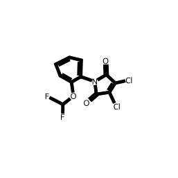 O=C1C(Cl)=C(Cl)C(=O)N1c1ccccc1OC(F)F